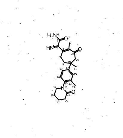 CC1=C(C(=N)C(N)=O)CCC(C)(c2ccc(N3CCCCC3=O)c(C)c2)CC1=O